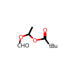 CC(OC=O)OC(=O)C(C)(C)C